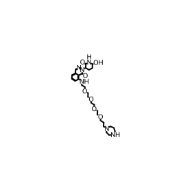 O=C1NC(O)CCC1n1ncc2cccc(NCCOCCOCCOCCOCCCN3CCCNCC3)c2c1=O